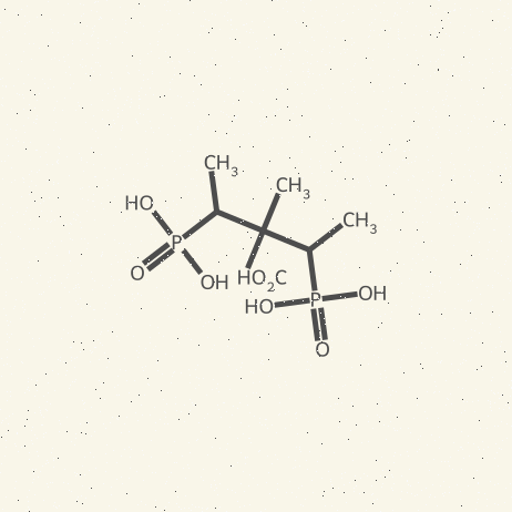 CC(C(C)(C(=O)O)C(C)P(=O)(O)O)P(=O)(O)O